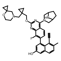 C#Cc1c(C)ccc2cc(O)cc(-c3ccc4c(N5CC6CCC(C5)N6)nc(OCC5(CN6CCOC7(CC7)C6)CC5)nc4c3F)c12